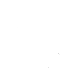 CC(=O)c1cccc(Oc2ccc(C(=O)COC(=O)[C@@H]3CCCN3C(=O)OC(C)(C)C)cc2)c1